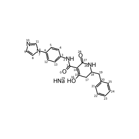 O=C(Nc1ccc(-n2ccnc2)cc1)C1=C(O)CC(Cc2ccccc2)NC1=O.[NaH]